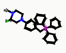 CN1CCN(c2ccc(C[PH](c3ccccc3)(c3ccccc3)c3ccccc3)cc2)CC1Br